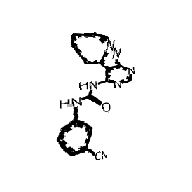 N#Cc1cccc(NC(=O)Nc2ncnc3nn4ccccc4c23)c1